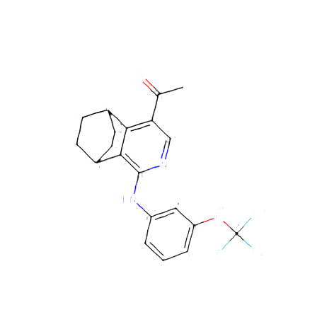 CC(=O)c1cnc(Nc2cccc(OC(F)(F)F)c2)c2c1C1CCC2CC1